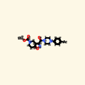 CC(=O)c1ccc(N2CCN(C(=O)c3noc4c3CN(C(=O)OC(C)(C)C)CC4)CC2)cc1